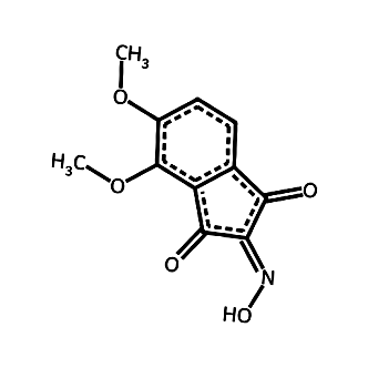 COc1ccc2c(=O)/c(=N/O)c(=O)c2c1OC